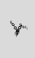 NC(=O)c1ccc(-n2nc(C(F)(F)F)cc2-c2ccc(-c3ccc(F)cc3)cc2)cc1